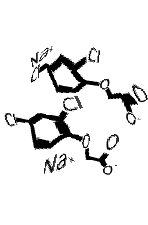 O=C([O-])COc1ccc(Cl)cc1Cl.O=C([O-])COc1ccc(Cl)cc1Cl.[Na+].[Na+]